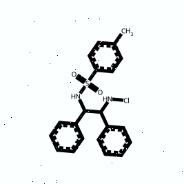 Cc1ccc(S(=O)(=O)NC(c2ccccc2)C(NCl)c2ccccc2)cc1